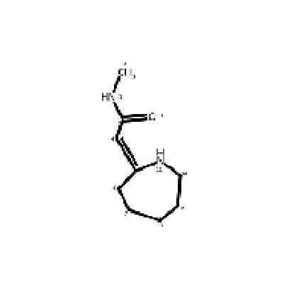 CNC(=O)C=C1CCCCCN1